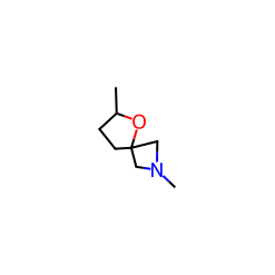 CC1CCC2(CN(C)C2)O1